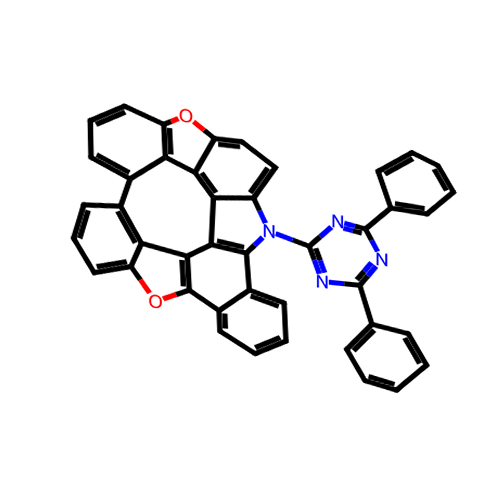 c1ccc(-c2nc(-c3ccccc3)nc(-n3c4ccc5oc6cccc7c8cccc9oc%10c%11ccccc%11c3c(c%10c98)c4c5c67)n2)cc1